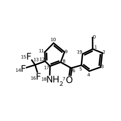 Cc1cccc(C(=O)c2cccc(C(F)(F)F)c2N)c1